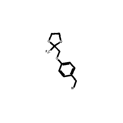 FC(F)(F)C1(COc2ccc(CBr)cc2)OCCO1